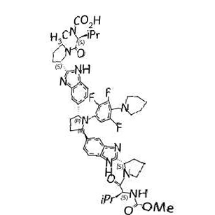 COC(=O)N[C@H](C(=O)N1CCC[C@H]1c1nc2cc([C@H]3CC[C@H](c4ccc5[nH]c([C@@H]6CCCN6C(=O)[C@H](C(C)C)N(C)C(=O)O)nc5c4)N3c3cc(F)c(N4CCCCC4)c(F)c3F)ccc2[nH]1)C(C)C